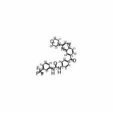 O=C(Nc1ccc(C(=O)c2ccc3ncc(N4CCOCC4)nc3c2)cc1)Nc1cccc(C(F)(F)F)c1